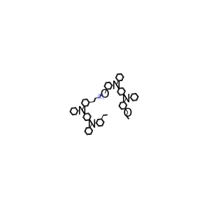 C=COc1cccc(N(c2ccccc2)c2ccc(N(c3ccccc3)c3cccc(O/C=C/C=Cc4cccc(N(c5ccccc5)c5ccc(N(c6ccccc6)c6cccc(C=C)c6)cc5)c4)c3)cc2)c1